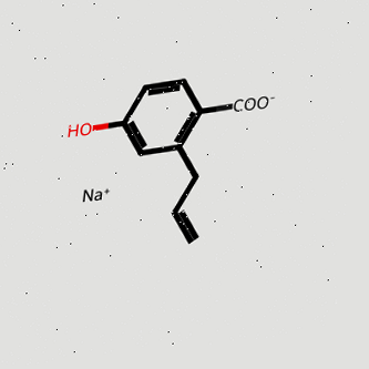 C=CCc1cc(O)ccc1C(=O)[O-].[Na+]